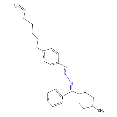 C=CCCCCCc1ccc(C=NN=C(c2ccccc2)C2CCC(C)CC2)cc1